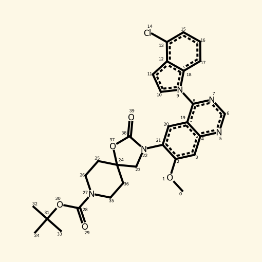 COc1cc2ncnc(-n3ccc4c(Cl)cccc43)c2cc1N1CC2(CCN(C(=O)OC(C)(C)C)CC2)OC1=O